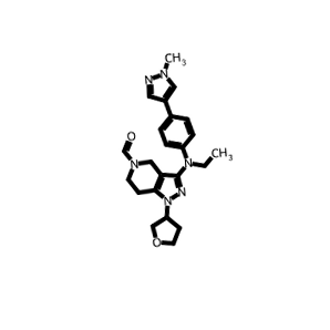 CCN(c1ccc(-c2cnn(C)c2)cc1)c1nn(C2CCOC2)c2c1CN(C=O)CC2